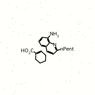 CCCCCc1ccc2cccc(N)c2n1.O=C(O)C1=CCCCC1